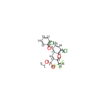 CCOC(=O)C1=Cc2c(Oc3ccccc3)c(Cl)cc(Cl)c2OC1C(F)(F)F